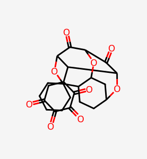 O=C1CC(C2C3OC4CCC5C(C4)OC(C3=O)C(=O)C2OC52CCCCC2)C(=O)C(=O)C1=O